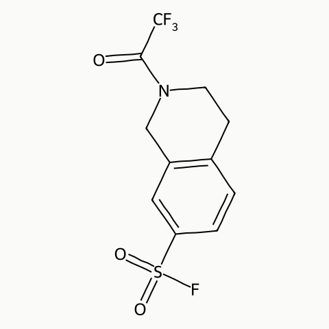 O=C(N1CCc2ccc(S(=O)(=O)F)cc2C1)C(F)(F)F